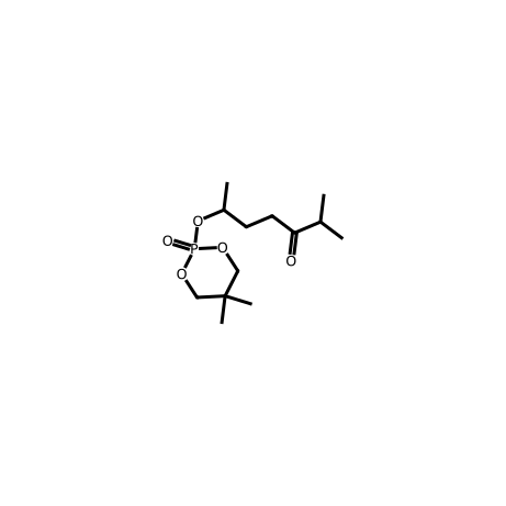 CC(CCC(=O)C(C)C)OP1(=O)OCC(C)(C)CO1